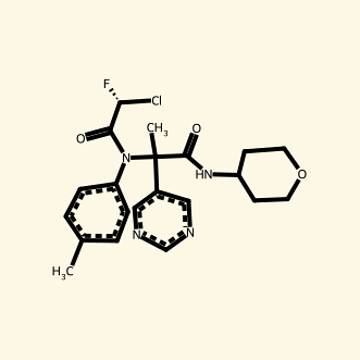 Cc1ccc(N(C(=O)[C@H](F)Cl)C(C)(C(=O)NC2CCOCC2)c2cncnc2)cc1